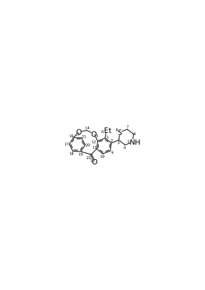 CCc1c(C2CNCCS2)ccc2c1OCOc1ccc(cc1)C2=O